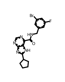 O=C(NCc1cc(F)cc(Br)c1)c1ncnc2nc(C3CCCC3)[nH]c12